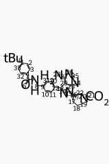 CC(C)(C)c1ccc(C(=O)NCc2ccc(-c3nn([C@@H]4CCCN(C(=O)O)C4)c4ncnc(N)c34)cc2)cc1